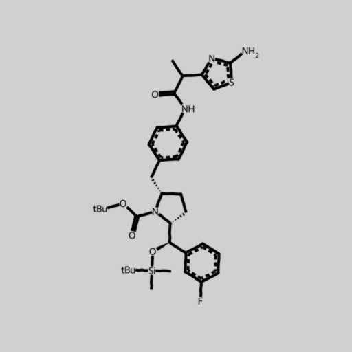 CC(C(=O)Nc1ccc(C[C@@H]2CC[C@H]([C@H](O[Si](C)(C)C(C)(C)C)c3cccc(F)c3)N2C(=O)OC(C)(C)C)cc1)c1csc(N)n1